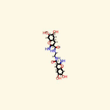 N=c1oc2cc(O)c(O)cc2cc1C(=O)NCCNC(=O)c1cc2cc(O)c(O)cc2oc1=N